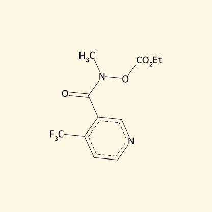 CCOC(=O)ON(C)C(=O)c1cnccc1C(F)(F)F